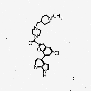 CN1CCC(CN2CCN(C(=O)[C@H]3Cc4cc(Cl)cc(-c5ccnc6[nH]ccc56)c4O3)CC2)CC1